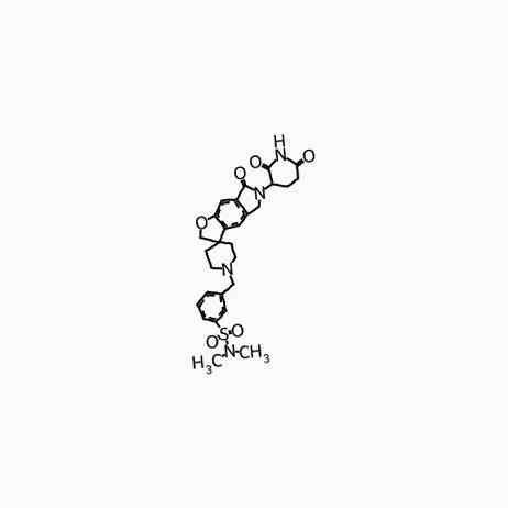 CN(C)S(=O)(=O)c1cccc(CN2CCC3(CC2)COc2cc4c(cc23)CN(C2CCC(=O)NC2=O)C4=O)c1